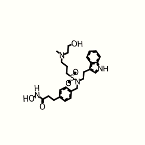 CN(CCO)CCCS(=O)(=O)N(CCc1c[nH]c2ccccc12)Cc1ccc(CCC(=O)NO)cc1